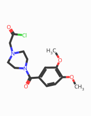 COc1ccc(C(=O)N2CCN(CC(=O)Cl)CC2)cc1OC